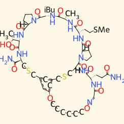 CC[C@H](C)[C@@H]1NC(=O)[C@H](C)NC(=O)[C@H](CCSC)NC(=O)[C@@H]2CCCN2C(=O)[C@@H]2CSCc3cc(cc(c3)OCCCCCCO/N=C/C(=O)N[C@@H](CCC(N)=O)C(=O)N2)CSC[C@@H](C(N)=O)NC(=O)[C@H]([C@@H](C)O)NC(=O)[C@@H]2CCCN2C1=O